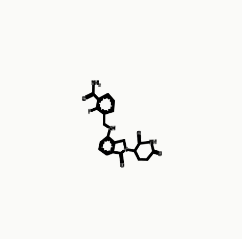 NC(=O)c1cccc(CNc2cccc3c2CN(C2CCC(=O)NC2=O)C3=O)c1F